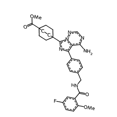 COC(=O)C12CCC(c3nc(-c4ccc(CNC(=O)c5cc(F)ccc5OC)cc4)c4c(N)ncnn34)(CC1)CC2